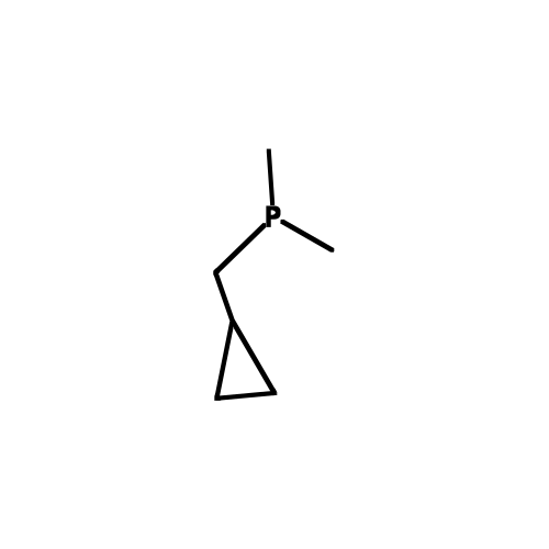 CP(C)CC1CC1